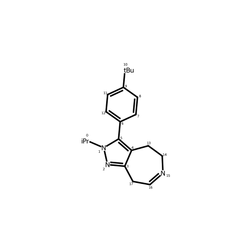 CC(C)n1nc2c(c1-c1ccc(C(C)(C)C)cc1)CCN=CC2